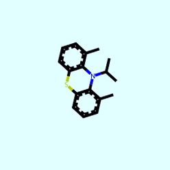 Cc1cccc2c1N(C(C)C)c1c(C)cccc1S2